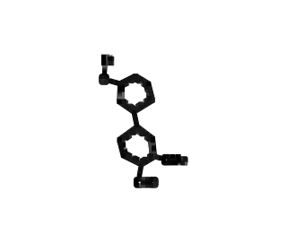 CCOc1cccc(-c2ccc(C=O)c(OC)c2)c1